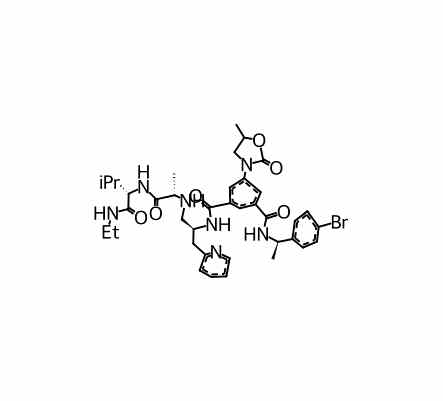 CCNC(=O)[C@@H](NC(=O)[C@H](C)NC[C@H](Cc1ccccn1)NC(=O)c1cc(C(=O)N[C@H](C)c2ccc(Br)cc2)cc(N2CC(C)OC2=O)c1)C(C)C